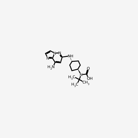 CC(C)(C)N(C(=O)O)[C@H]1CC[C@H](Nc2cc(N)c3nccn3n2)CC1